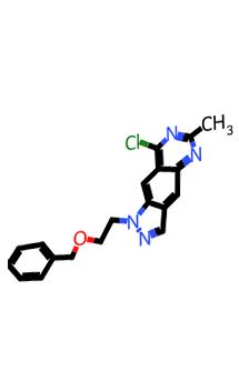 Cc1nc(Cl)c2cc3c(cnn3CCOCc3ccccc3)cc2n1